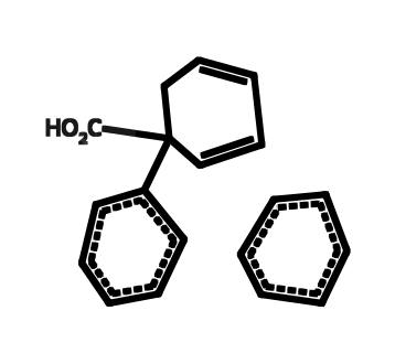 O=C(O)C1(c2ccccc2)C=CC=CC1.c1ccccc1